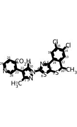 Cc1nn(-c2nc3c(s2)SC(C)c2cc(Cl)c(Cl)cc2-3)c(C(=O)O)c1-c1cccnc1